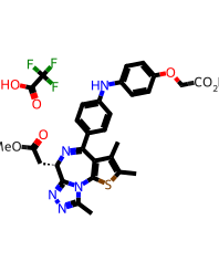 COC(=O)C[C@@H]1N=C(c2ccc(Nc3ccc(OCC(=O)O)cc3)cc2)c2c(sc(C)c2C)-n2c(C)nnc21.O=C(O)C(F)(F)F